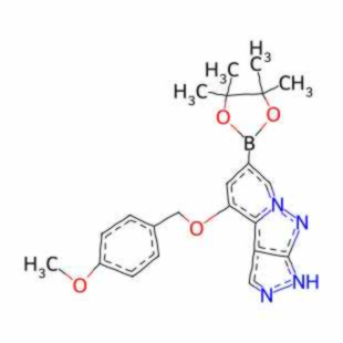 COc1ccc(COc2cc(B3OC(C)(C)C(C)(C)O3)cn3nc4[nH]ncc4c23)cc1